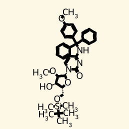 COc1ccc(C(Nc2ccn([C@@H]3O[C@H](CO[Si](C)(C)C(C)(C)C)[C@H](O)C3OC)c(=O)n2)(c2ccccc2)c2ccccc2)cc1